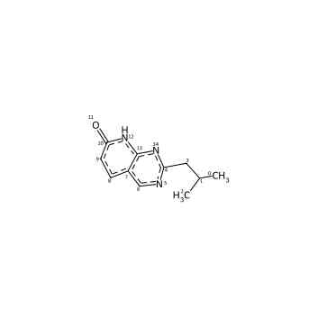 CC(C)Cc1ncc2ccc(=O)[nH]c2n1